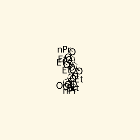 CCCOC(=O)CC(CC(=O)OC(=O)CC(CC(=O)OCCC)[Si](OCC)(OCC)OCC)[Si](OCC)(OCC)OCC